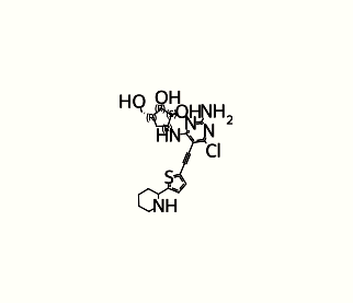 Nc1nc(Cl)c(C#Cc2ccc(C3CCCCN3)s2)c(N[C@@H]2C[C@H](CO)[C@@H](O)[C@H]2O)n1